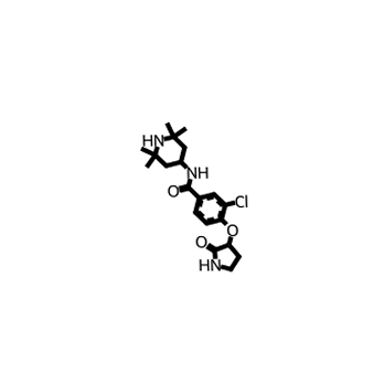 CC1(C)CC(NC(=O)c2ccc(OC3CCNC3=O)c(Cl)c2)CC(C)(C)N1